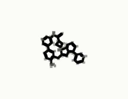 C=C(Nc1cncc(-c2ccc(N)c(Cc3cc4c(-c5cccnc5)cccc4[nH]3)c2)c1)C1CCC1